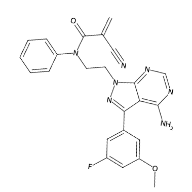 C=C(C#N)C(=O)N(CCn1nc(-c2cc(F)cc(OC)c2)c2c(N)ncnc21)c1ccccc1